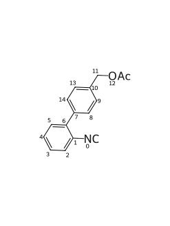 [C-]#[N+]c1ccccc1-c1ccc(COC(C)=O)cc1